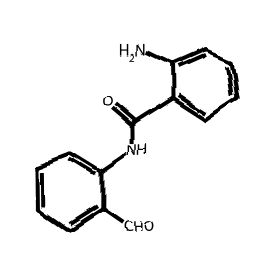 Nc1ccccc1C(=O)Nc1ccccc1C=O